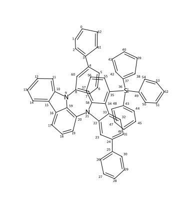 c1ccc(-c2cccc(-n3c4ccccc4c4cccc(-n5c6cc(-c7ccccc7)ccc6c6c([Si](c7ccccc7)(c7ccccc7)c7ccccc7)cccc65)c43)c2)cc1